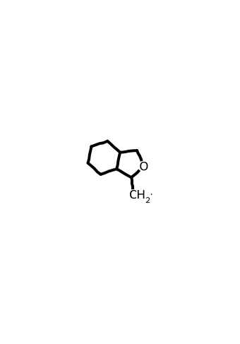 [CH2]C1OCC2CCCCC21